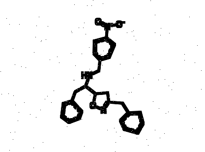 O=[N+]([O-])c1ccc(CNC(Cc2ccccc2)C2CC(Cc3ccccc3)=NO2)cc1